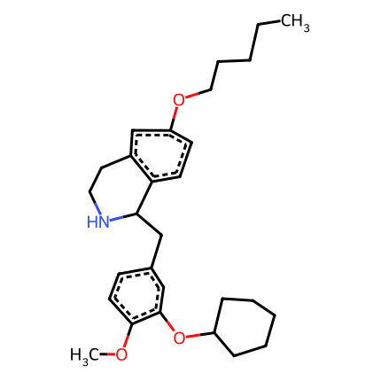 CCCCCOc1ccc2c(c1)CCNC2Cc1ccc(OC)c(OC2CCCCC2)c1